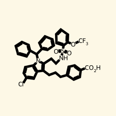 O=C(O)c1ccc(CCCc2c(CCNS(=O)(=O)c3ccccc3OC(F)(F)F)n(C(c3ccccc3)c3ccccc3)c3ccc(Cl)cc23)cc1